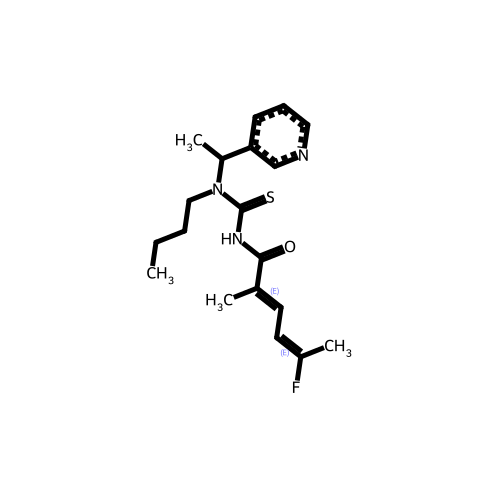 CCCCN(C(=S)NC(=O)/C(C)=C/C=C(\C)F)C(C)c1cccnc1